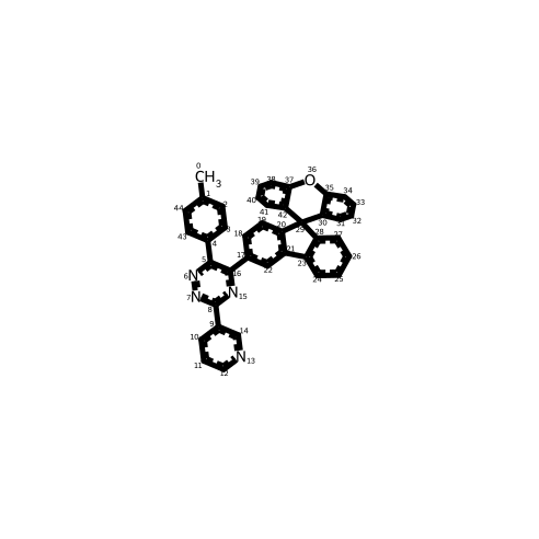 Cc1ccc(-c2nnc(-c3cccnc3)nc2-c2ccc3c(c2)-c2ccccc2C32c3ccccc3Oc3ccccc32)cc1